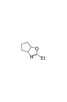 CCC1=NC2CCCC2O1